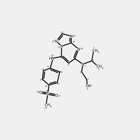 CC(C)N(CCO)c1cc(Nc2ccc(S(C)(=O)=O)cc2)n2ncnc2n1